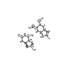 COc1cc2nc(C)sc2cc1OC.Cc1cc(C)c2sc(C)nc2c1